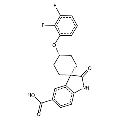 O=C(O)c1ccc2c(c1)[C@]1(CC[C@@H](Oc3cccc(F)c3F)CC1)C(=O)N2